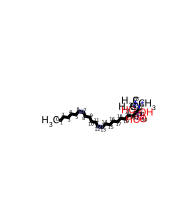 CCCCCC/C=C\CCCC/C=C\CCCCCCCCC(O)(C[N+](C)(C)C)P(=O)(O)O